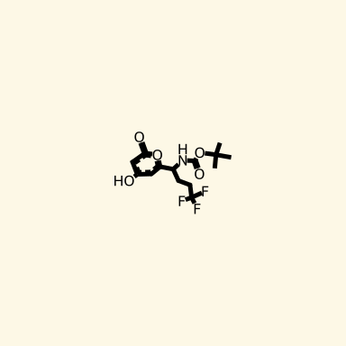 CC(C)(C)OC(=O)NC(CCC(F)(F)F)c1cc(O)cc(=O)o1